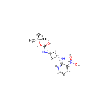 CC(C)(C)OC(=O)N[C@H]1C[C@H](Nc2ncccc2[N+](=O)[O-])C1